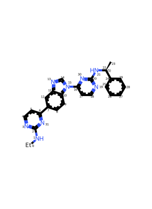 CCNc1nccc(-c2ccc3c(c2)ncn3-c2ccnc(N[C@@H](C)c3ccccc3)n2)n1